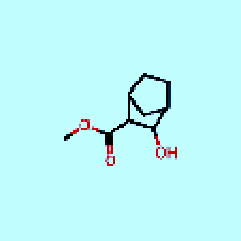 COC(=O)C1C2CCC(C2)C1O